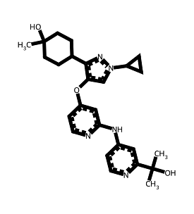 CC1(O)CCC(c2nn(C3CC3)cc2Oc2ccnc(Nc3ccnc(C(C)(C)O)c3)c2)CC1